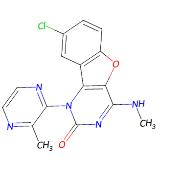 CNc1nc(=O)n(-c2nccnc2C)c2c1oc1ccc(Cl)cc12